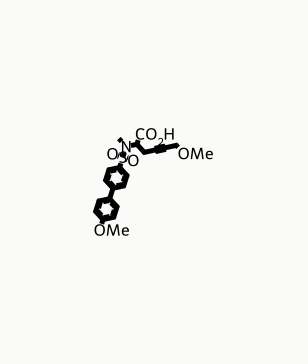 COCC#CCC(C(=O)O)N(C)S(=O)(=O)c1ccc(-c2ccc(OC)cc2)cc1